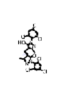 CC1=NN(c2c(Cl)cc(Cl)cc2Cl)C(=O)/C1=C\c1c(C)nn(-c2c(Cl)cc(Cl)cc2Cl)c1O